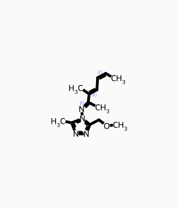 C\C=C/C=C(C)/C(C)=N/n1c(C)nnc1COC